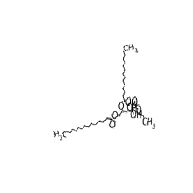 CCCCCCCCCCCCCCC(=O)OCC(COP(=O)(O)OCCC)OC(=O)CCCCCCCCCCCCCC